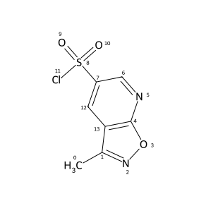 Cc1noc2ncc(S(=O)(=O)Cl)cc12